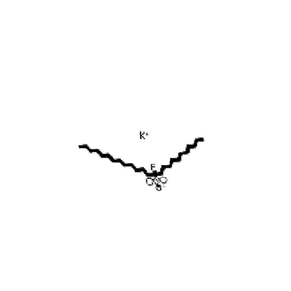 CCCCCCCCCCCCCC(F)(CCCCCCCCCCC)S(=O)(=O)[O-].[K+]